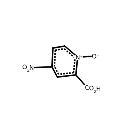 O=C(O)c1cc([N+](=O)[O-])cc[n+]1[O-]